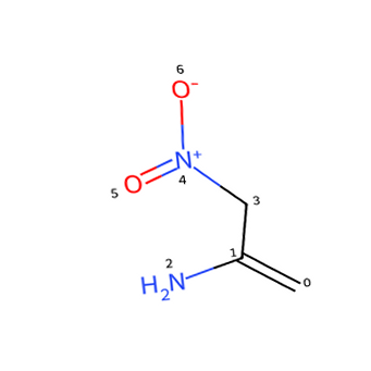 C=C(N)C[N+](=O)[O-]